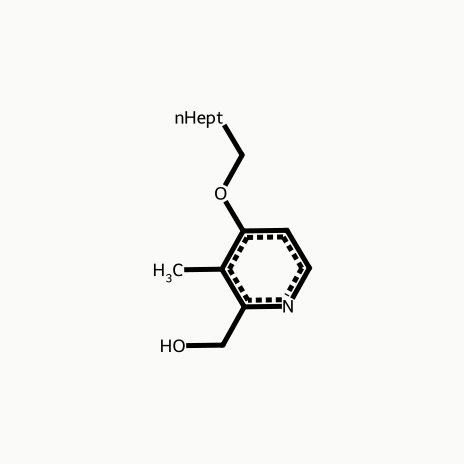 CCCCCCCCOc1ccnc(CO)c1C